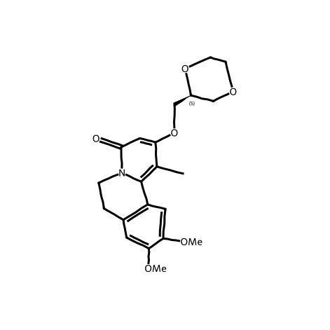 COc1cc2c(cc1OC)-c1c(C)c(OC[C@@H]3COCCO3)cc(=O)n1CC2